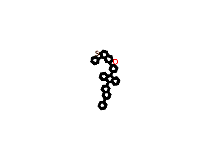 C1=CCCC(C2=CC3=CC=C(c4c5ccccc5c(-c5ccc6oc7cc8ccc9sc%10ccccc%10c9c8cc7c6c5)c5ccccc45)CC3C=C2)=C1